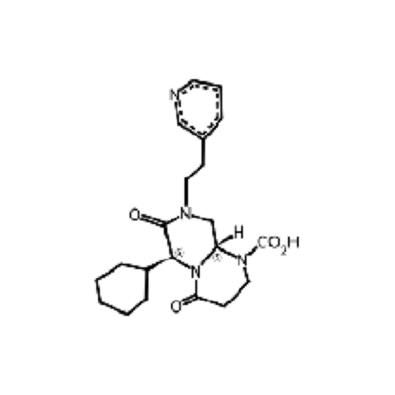 O=C1[C@H](C2CCCCC2)N2C(=O)CCN(C(=O)O)[C@H]2CN1CCc1cccnc1